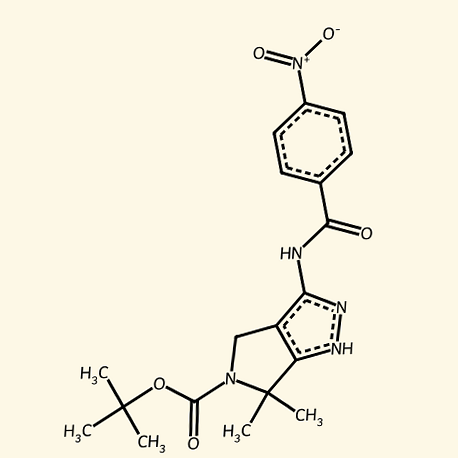 CC(C)(C)OC(=O)N1Cc2c(NC(=O)c3ccc([N+](=O)[O-])cc3)n[nH]c2C1(C)C